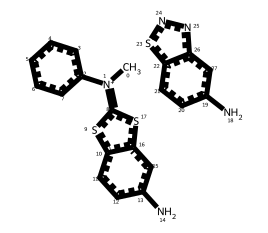 C[N+](c1ccccc1)=c1sc2ccc(N)cc2s1.Nc1ccc2snnc2c1